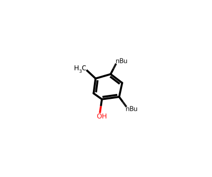 CCCCc1cc(CCCC)c(O)cc1C